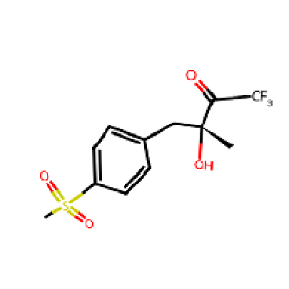 C[C@@](O)(Cc1ccc(S(C)(=O)=O)cc1)C(=O)C(F)(F)F